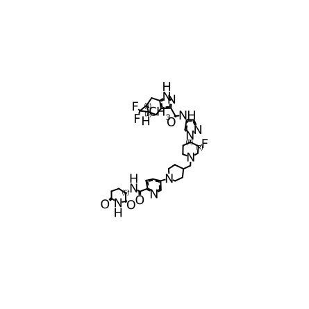 C[C@@]12Cc3[nH]nc(C(=O)Nc4cnn([C@@H]5CCN(CC6CCN(c7ccc(C(=O)N[C@H]8CCC(=O)NC8=O)nc7)CC6)C[C@H]5F)c4)c3C[C@@H]1C2(F)F